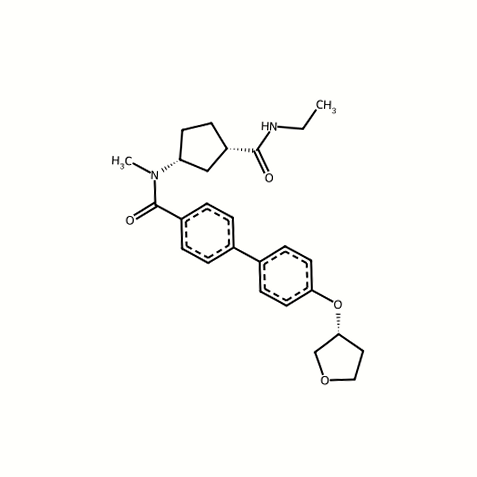 CCNC(=O)[C@H]1CC[C@@H](N(C)C(=O)c2ccc(-c3ccc(O[C@@H]4CCOC4)cc3)cc2)C1